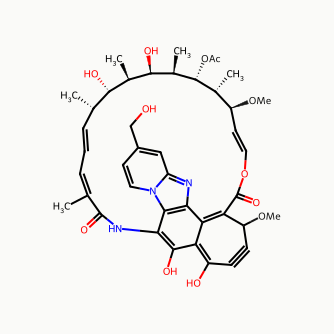 COC1C#CC(O)=c2c(O)c3c4c(nc5cc(CO)ccn54)c2=C1C(=O)O/C=C/[C@H](OC)[C@@H](C)[C@@H](OC(C)=O)[C@H](C)[C@H](O)[C@H](C)[C@@H](O)[C@@H](C)/C=C/C=C(/C)C(=O)N3